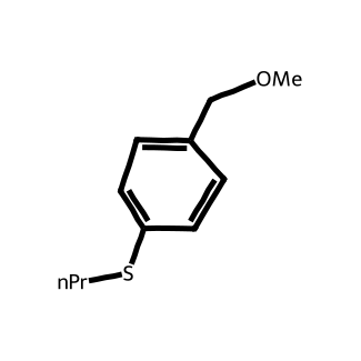 [CH2]OCc1ccc(SCCC)cc1